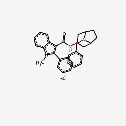 Cl.Cn1c(-c2ccccc2)c(C(=O)NC2CC3CCC(C2)N3Cc2ccccc2)c2ccccc21